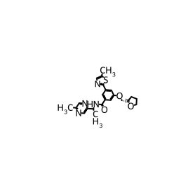 Cc1cnc(C(C)NC(=O)c2cc(OC[C@@H]3CCCO3)cc(-c3ncc(C)s3)c2)cn1